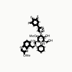 COc1cnc2ccc(F)c(CN(C(=O)[C@@H]3O[C@H](CO)[C@H](O)[C@H](n4cc(-c5cc(F)c(F)c(F)c5)nn4)[C@H]3OC)[C@H]3CCCC[C@@H]3O)c2n1